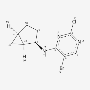 Clc1ncc(Br)c(N[C@@H]2CC[C@@H]3C[C@@H]32)n1